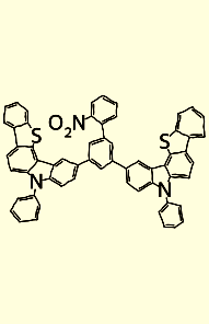 O=[N+]([O-])c1ccccc1-c1cc(-c2ccc3c(c2)c2c4sc5ccccc5c4ccc2n3-c2ccccc2)cc(-c2ccc3c(c2)c2c4sc5ccccc5c4ccc2n3-c2ccccc2)c1